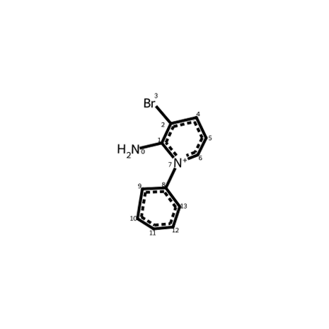 Nc1c(Br)ccc[n+]1-c1ccccc1